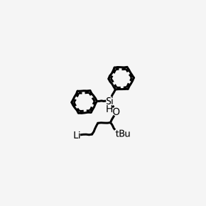 [Li][CH2]CC(O[SiH](c1ccccc1)c1ccccc1)C(C)(C)C